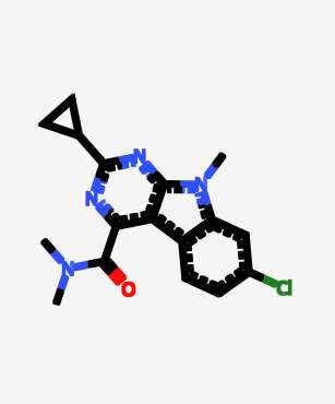 CN(C)C(=O)c1nc(C2CC2)nc2c1c1ccc(Cl)cc1n2C